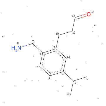 CC(C)c1ccc(CN)c(CCC=O)c1